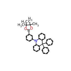 CC1(C)OB(c2cccc(N3c4ccccc4C(c4ccccc4)(c4ccccc4)c4ccccc43)c2)OC1(C)C